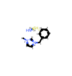 C[n+]1ccn(Cc2ccccc2)c1.N=[SH2]